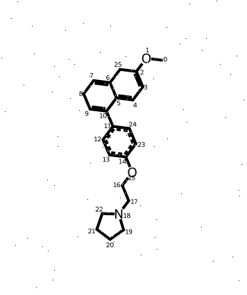 COC1=CC=C2C(=CCC=C2c2ccc(OCCN3CCCC3)cc2)C1